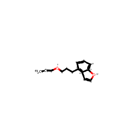 [CH2]CCOCCCc1cccc2occc12